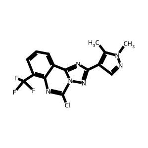 Cc1c(-c2nc3c4cccc(C(F)(F)F)c4nc(Cl)n3n2)cnn1C